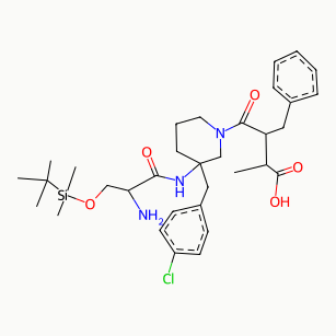 CC(C(=O)O)C(Cc1ccccc1)C(=O)N1CCCC(Cc2ccc(Cl)cc2)(NC(=O)C(N)CO[Si](C)(C)C(C)(C)C)C1